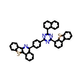 c1ccc2c(-c3nc(-c4ccc(-c5nc6c7ccccc7sc6c6ccccc56)cc4)nc(-c4cccc5c4sc4ccccc45)n3)cccc2c1